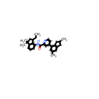 CCC1CC(C)(C)c2cccc(NC(=O)c3cc(-c4cc(C)cc5c4CC(C)C5)ccn3)c21